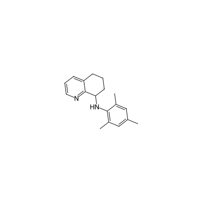 Cc1cc(C)c(NC2CCCc3cccnc32)c(C)c1